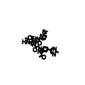 CC(=O)N[C@@H]1CN(C(=O)Cn2nc(C(C)=O)c3cc(-c4cnc(C)nc4)ccc32)[C@H](C(=O)Nc2cccc(Br)n2)[C@H]1F